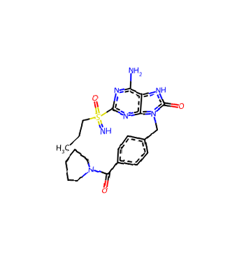 CCCS(=N)(=O)c1nc(N)c2[nH]c(=O)n(Cc3ccc(C(=O)N4CCCCC4)cc3)c2n1